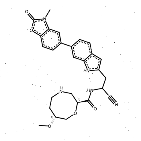 CO[C@@H]1CCNC[C@@H](C(=O)NC(C#N)Cc2cc3ccc(-c4ccc5oc(=O)n(C)c5c4)cc3[nH]2)OC1